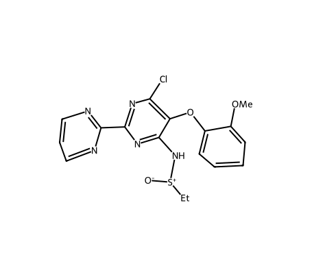 CC[S+]([O-])Nc1nc(-c2ncccn2)nc(Cl)c1Oc1ccccc1OC